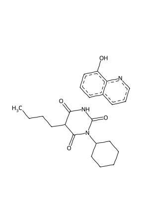 CCCCC1C(=O)NC(=O)N(C2CCCCC2)C1=O.Oc1cccc2cccnc12